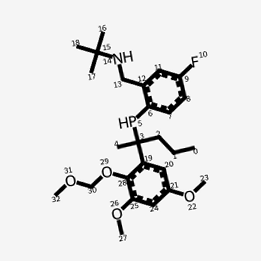 CCCC(C)(Pc1ccc(F)cc1CNC(C)(C)C)c1cc(OC)cc(OC)c1OCOC